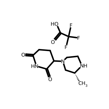 C[C@@H]1CN(C2CCC(=O)NC2=O)CCN1.O=C(O)C(F)(F)F